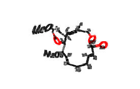 COCO[C@H]1C(C)/C=C(/C)COC(=O)/C=C/CC/C=C/[C@@H]1OC